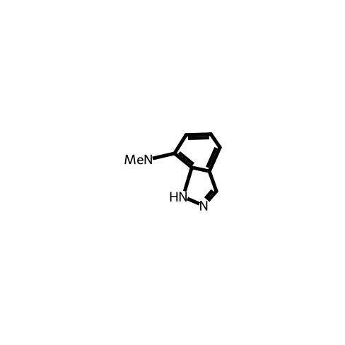 CNc1cccc2cn[nH]c12